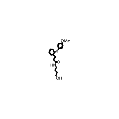 COc1ccc(Sc2ccccc2/C=C/C(=O)NCCCCO)cc1